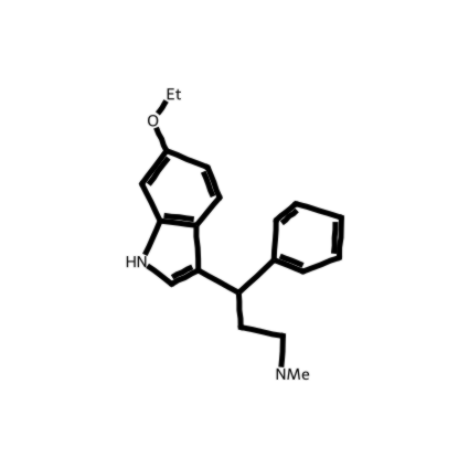 CCOc1ccc2c(C(CCNC)c3ccccc3)c[nH]c2c1